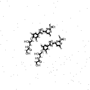 CCN(C)c1nc(C)cc(-c2nc(-c3cc(C)c(OCC(O)CNC(=O)CO)c(C)c3)no2)n1.CCN(C)c1nc(C)cc(-c2nc(-c3cc(C)c(OCC(O)CNC(=O)CO)c(C)c3)no2)n1